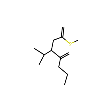 C=C(CC(C(=C)CCC)C(C)C)SC